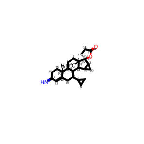 C[C@]12CCC3C(C(C4CC4)CC4=CC(=N)CC[C@@H]43)C1C1CC1[C@@]21CCC(=O)O1